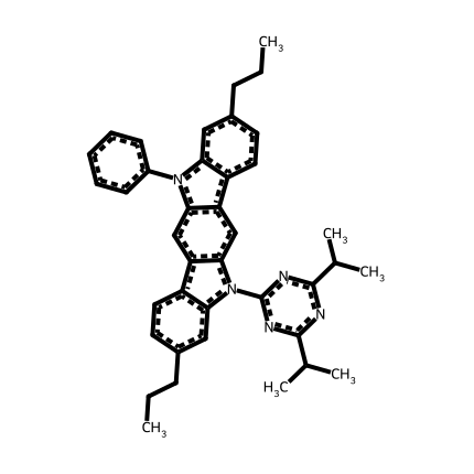 CCCc1ccc2c3cc4c(cc3n(-c3ccccc3)c2c1)c1ccc(CCC)cc1n4-c1nc(C(C)C)nc(C(C)C)n1